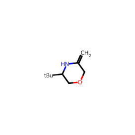 C=C1COCC(C(C)(C)C)N1